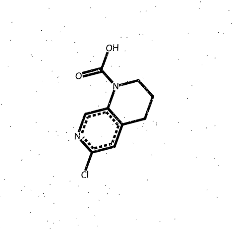 O=C(O)N1CCCc2cc(Cl)ncc21